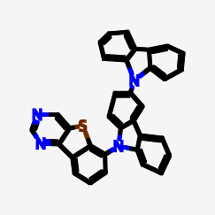 c1cc(-n2c3ccccc3c3cc(-n4c5ccccc5c5ccccc54)ccc32)c2sc3cncnc3c2c1